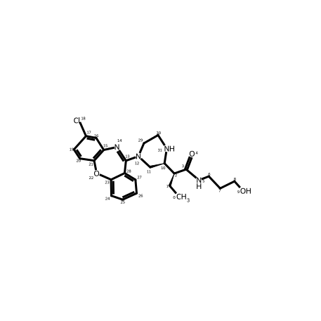 CC[C@H](C(=O)NCCCO)[C@H]1CN(C2=Nc3cc(Cl)ccc3Oc3ccccc32)CCN1